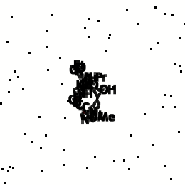 CCn1c(-c2cccnc2[C@H](C)OC)c2c3cc(ccc31)-c1cc(O)cc(c1)C[C@H](NC(=O)C(C(C)C)N(C)C(=O)[C@H]1CCN(S(=O)(=O)CC)C1)C(=O)N1CCC[C@H](N1)C(=O)OCC(C)(C)C2